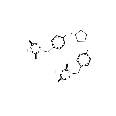 O=c1[nH]c(=O)n(Cc2ccc(O[C@H]3CC[C@H](Oc4ccc(Cn5oc(=O)[nH]c5=O)cc4)C3)cc2)o1